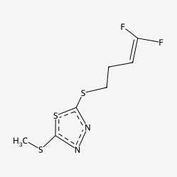 CSc1nnc(SCCC=C(F)F)s1